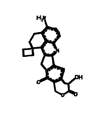 Nc1ccc2nc3c(c4c2c1CCC41CCC1)Cn1c-3cc2c(c1=O)COC(=O)C2O